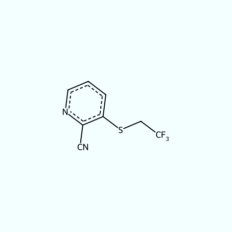 N#Cc1ncccc1SCC(F)(F)F